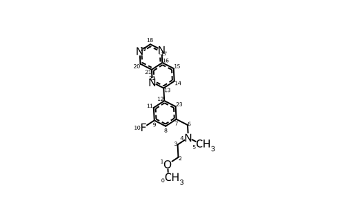 COCCN(C)Cc1cc(F)cc(-c2ccc3ncncc3n2)c1